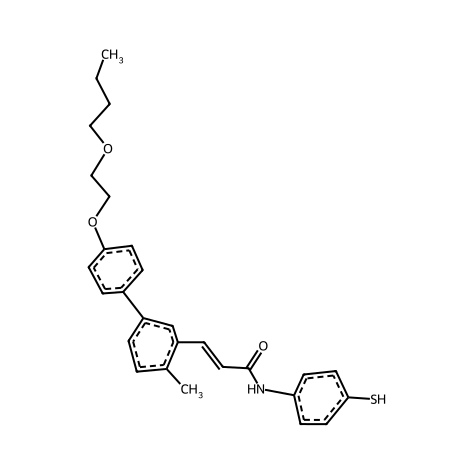 CCCCOCCOc1ccc(-c2ccc(C)c(/C=C/C(=O)Nc3ccc(S)cc3)c2)cc1